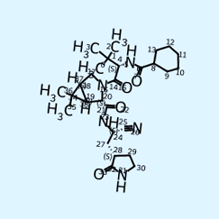 CC(C)(C)[C@H](NC(=O)C1CCCCC1)C(=O)N1C[C@H]2[C@@H]([C@H]1C(=O)N[C@H](C#N)C[C@@H]1CCNC1=O)C2(C)C